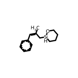 CC(=Cc1ccccc1)C[SiH]1CCCCO1